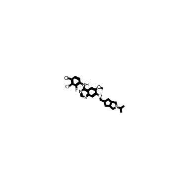 COc1cc2c(Nc3ccc(Cl)c(Cl)c3F)ncnc2cc1OCC1CC2CN(C(C)C)CC2C1